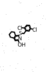 Oc1cc2c(c(SCc3cc(Cl)ccc3Cl)n1)CCCC2